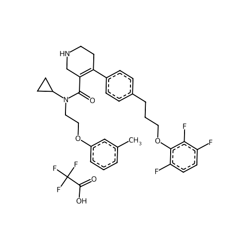 Cc1cccc(OCCN(C(=O)C2=C(c3ccc(CCCOc4c(F)ccc(F)c4F)cc3)CCNC2)C2CC2)c1.O=C(O)C(F)(F)F